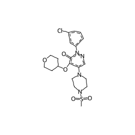 CS(=O)(=O)N1CCN(c2cnn(-c3cccc(Cl)c3)c(=O)c2OC2CCOCC2)CC1